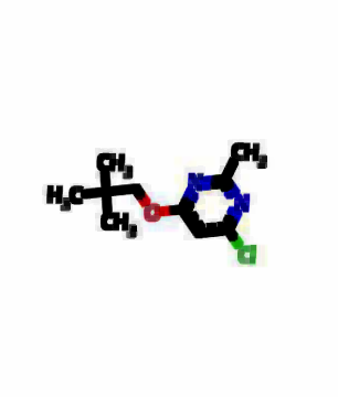 Cc1nc(Cl)cc(OCC(C)(C)C)n1